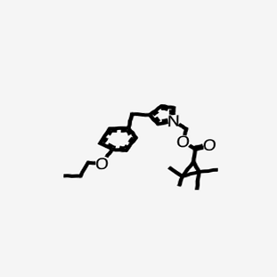 CCCOc1ccc(Cc2ccn(COC(=O)C3C(C)(C)C3(C)C)c2)cc1